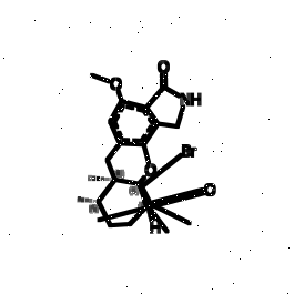 COc1cc2c(c3c1C(=O)NC3)O[C@@]13CC(Br)C(=O)C(C)(C)[C@@H]1CC[C@H](C)[C@@]3(C)C2